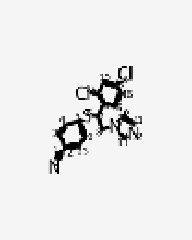 N#Cc1ccc(SC(Cn2ccnc2)c2ccc(Cl)cc2Cl)cc1